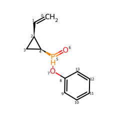 C=C[C@@H]1C[C@@H]1[PH](=O)Oc1ccccc1